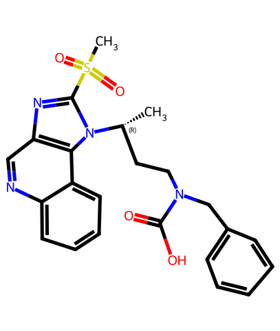 C[C@H](CCN(Cc1ccccc1)C(=O)O)n1c(S(C)(=O)=O)nc2cnc3ccccc3c21